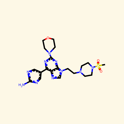 CS(=O)(=O)N1CCN(CCn2cnc3c(-c4cnc(N)nc4)nc(N4CCOCC4)nc32)CC1